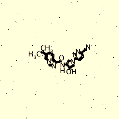 CC(C)c1ccc2c(C(=O)N[C@H]3CN(c4ccc(C#N)nn4)C[C@@H]3O)ncn2c1